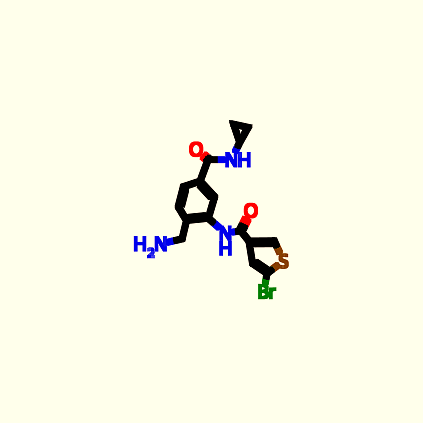 NCc1ccc(C(=O)NC2CC2)cc1NC(=O)c1csc(Br)c1